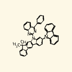 CC1(C)c2ccccc2-c2cc3c4ccc(-n5c6ccccc6c6ccccc65)cc4n(-c4nc(-c5ccccc5)c5ccccc5n4)c3cc21